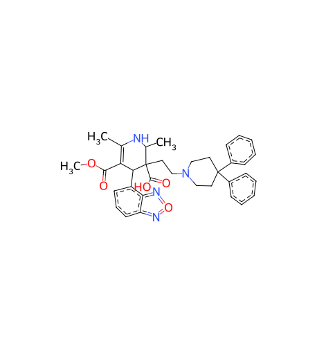 COC(=O)C1=C(C)NC(C)C(CCN2CCC(c3ccccc3)(c3ccccc3)CC2)(C(=O)O)C1c1cccc2nonc12